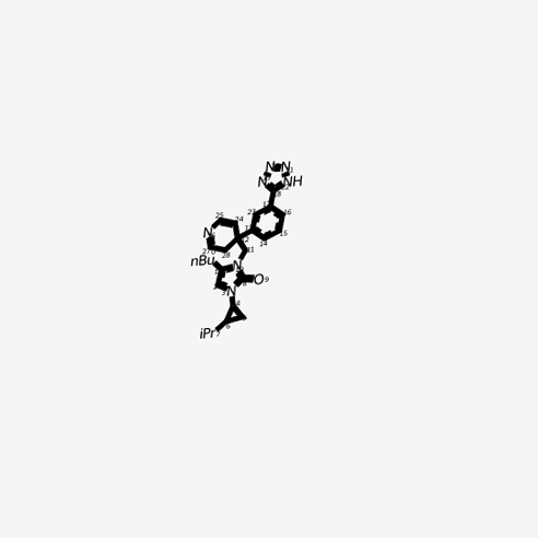 CCCCc1cn(C2CC2C(C)C)c(=O)n1CC1(c2cccc(-c3nnn[nH]3)c2)C=CN=CC1